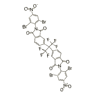 O=C1c2ccc(C(c3ccc4c(c3)C(=O)N(c3c(Br)cc([N+](=O)[O-])cc3Br)C4=O)(C(F)(F)F)C(F)(F)F)cc2C(=O)N1c1c(Br)cc([N+](=O)[O-])cc1Br